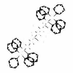 C[Si](C)([Si](C)(C)[Si](C)(C)[Si](C)(C)[Si](c1ccccc1)(c1ccccc1)[Si](c1ccccc1)(c1ccccc1)c1ccccc1)[Si](C)(C)[Si](C)(C)[Si](c1ccccc1)(c1ccccc1)[Si](c1ccccc1)(c1ccccc1)c1ccccc1